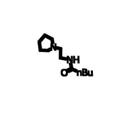 CCCCC(=O)NCCN1CCCCC1